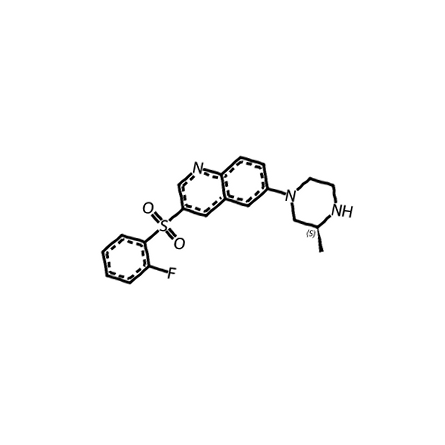 C[C@H]1CN(c2ccc3ncc(S(=O)(=O)c4ccccc4F)cc3c2)CCN1